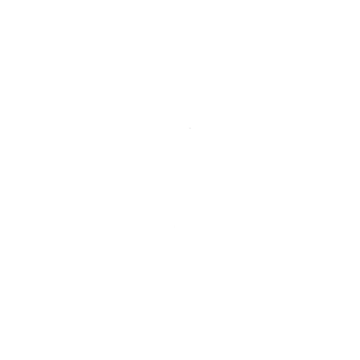 [CH2]C(C)c1ccc(C(F)(F)F)cc1